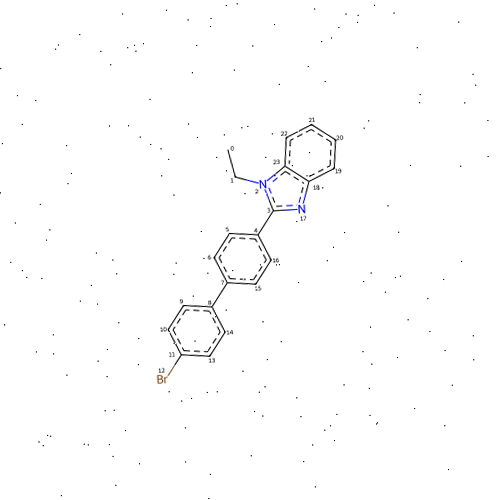 CCn1c(-c2ccc(-c3ccc(Br)cc3)cc2)nc2ccccc21